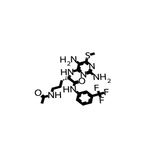 CSc1nc(N)nc(N[C@@H](CCCNC(C)=O)C(=O)Nc2cccc(C(F)(F)F)c2)c1N